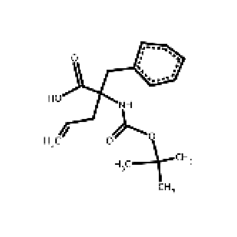 C=CCC(Cc1ccccc1)(NC(=O)OC(C)(C)C)C(=O)O